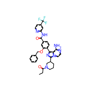 CCC(=O)N1CCCC(c2nc(-c3ccc(C(=O)Nc4cc(C(F)(F)F)ccn4)cc3OCc3ccccc3)c3c(N)nccn23)C1